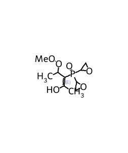 COOC(C)/C(=C(/C)O)P(=O)(C1CO1)C1CO1